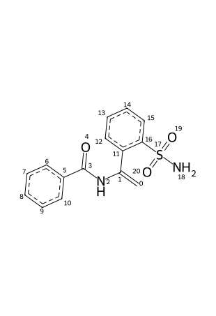 C=C(NC(=O)c1ccccc1)c1ccccc1S(N)(=O)=O